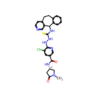 CN1C[C@@H](NC(=O)c2cnc(NNC(=S)NC3c4ccccc4CCc4ccncc43)c(Cl)c2)CC1=O